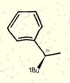 C[C@H](c1ccccc1)C(C)(C)C